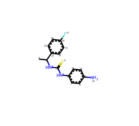 CC(NC(=S)Nc1ccc(N)cc1)c1ccc(F)cc1